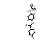 [CH2]c1ccc(C(=O)Nc2ccc(NC(=O)C(F)(F)F)cc2)cc1